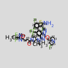 C[C@@H]1[C@H](N(C)c2nc(OC[C@@]34CCCN3C[C@H](F)C4)nc3c(F)c(-c4ccc(F)c5sc(N)c(C#N)c45)c(C(F)(F)F)cc23)CCN1C(=O)/C=C/c1nc(C(C)(F)F)no1